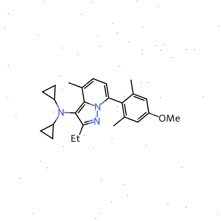 CCc1nn2c(-c3c(C)cc(OC)cc3C)ccc(C)c2c1N(C1CC1)C1CC1